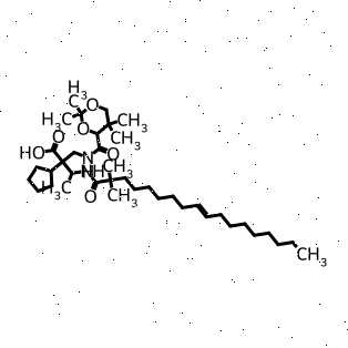 CCCCCCCC/C=C/CCCCCCC(C)(C)C(=O)NC(C)C(CNC(=O)C1OC(C)(C)OCC1(C)C)(C(=O)O)C1CCCC1